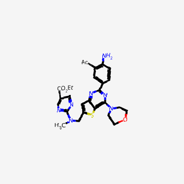 CCOC(=O)c1cnc(N(C)Cc2cc3nc(-c4ccc(N)c(C(C)=O)c4)nc(N4CCOCC4)c3s2)nc1